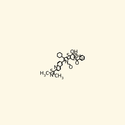 Cc1nc(C)c(-c2ccc3cc(-c4c(C5CCCCC5)c5sc(C(=O)O)c(CN(C)C(=O)c6ccccc6)c5n4CC=O)ccc3n2)s1